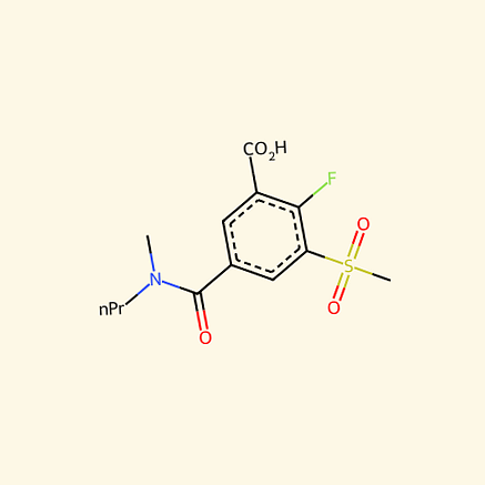 CCCN(C)C(=O)c1cc(C(=O)O)c(F)c(S(C)(=O)=O)c1